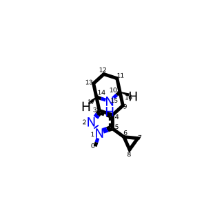 Cn1nc2c(c1C1CC1)C[C@H]1CCC[C@@H]2N1